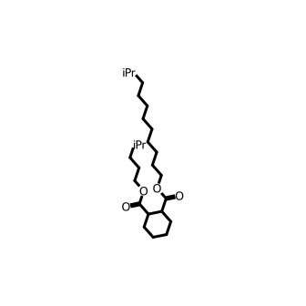 CC(C)CCCCCCCCCOC(=O)C1CCCCC1C(=O)OCCCC(C)C